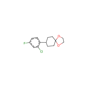 Fc1ccc(C2CCC3(CC2)OCCO3)c(Cl)c1